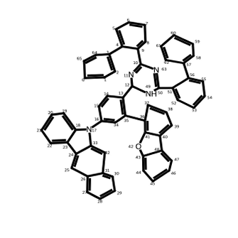 c1ccc(-c2ccccc2C2=NC(c3ccc(-n4c5ccccc5c5cc6ccccc6cc54)cc3-c3cccc4c3oc3ccccc34)NC(c3ccccc3-c3ccccc3)=N2)cc1